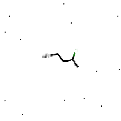 CCC[CH]CC(C)Cl